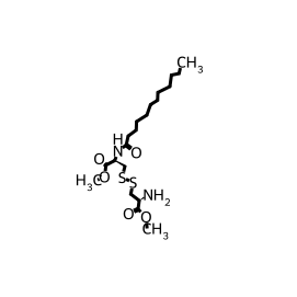 CCCCCCCCCCCC(=O)N[C@@H](CSSC[C@H](N)C(=O)OC)C(=O)OC